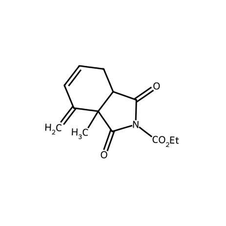 C=C1C=CCC2C(=O)N(C(=O)OCC)C(=O)C12C